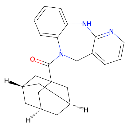 O=C(N1Cc2cccnc2Nc2ccccc21)C12C[C@H]3C[C@H](C1)C[C@@H](C2)C3